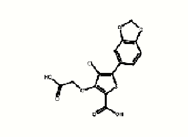 O=C(O)COc1c(C(=O)O)sc(-c2ccc3c(c2)OCO3)c1Cl